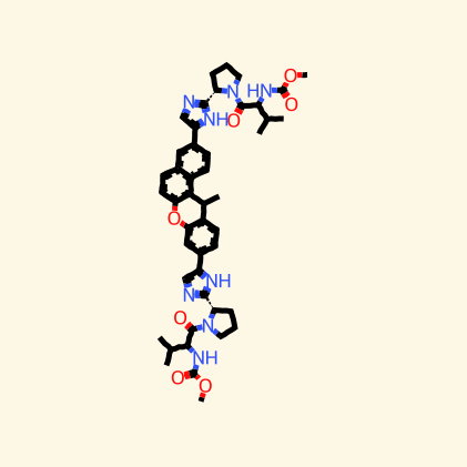 COC(=O)NC(C(=O)N1CCC[C@H]1c1ncc(-c2ccc3c(c2)Oc2ccc4cc(-c5cnc([C@@H]6CCCN6C(=O)C(NC(=O)OC)C(C)C)[nH]5)ccc4c2C3C)[nH]1)C(C)C